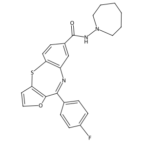 O=C(NN1CCCCCC1)c1ccc2c(c1)N=C(c1ccc(F)cc1)c1occc1S2